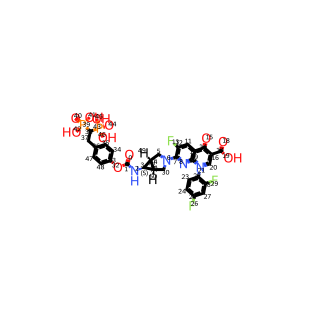 O=C(N[C@H]1[C@@H]2CN(c3nc4c(cc3F)c(=O)c(C(=O)O)cn4-c3ccc(F)cc3F)C[C@@H]21)Oc1ccc(CC(P(=O)(O)O)P(=O)(O)O)cc1